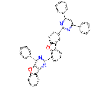 c1ccc(-c2cc(-c3ccccc3)nc(-c3ccc4oc5c(-c6nc(-c7ccccc7)c7oc8ccccc8c7n6)cccc5c4c3)n2)cc1